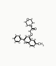 Cc1ccc2nc(-c3ccccc3)cc(OCC(=O)N3CCOCC3)c2c1